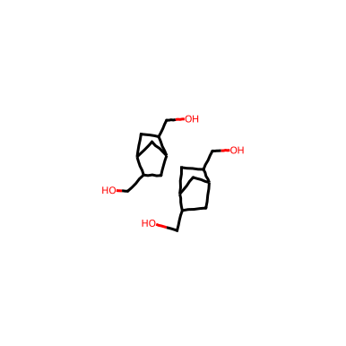 OCC1CC2CC1CC2CO.OCC1CC2CC1CC2CO